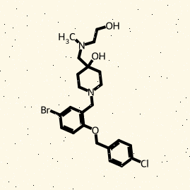 CN(CCO)CC1(O)CCN(Cc2cc(Br)ccc2OCc2ccc(Cl)cc2)CC1